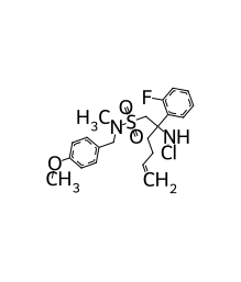 C=CCCC(CS(=O)(=O)N(C)Cc1ccc(OC)cc1)(NCl)c1ccccc1F